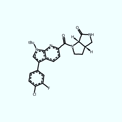 CC(C)(C)n1cc(-c2ccc(Cl)c(F)c2)c2ccc(C(=O)N3CC[C@H]4CNC(=O)[C@H]43)nc21